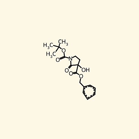 CC(C)(C)OC(=O)N1CCC(O)(C(=O)OCc2ccccc2)C1=O